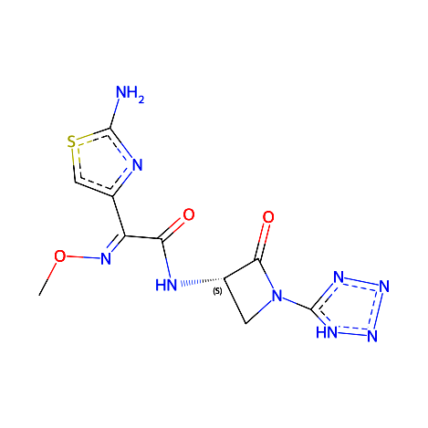 CON=C(C(=O)N[C@H]1CN(c2nnn[nH]2)C1=O)c1csc(N)n1